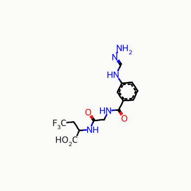 NN=CNc1cccc(C(=O)NCC(=O)NC(CC(F)(F)F)C(=O)O)c1